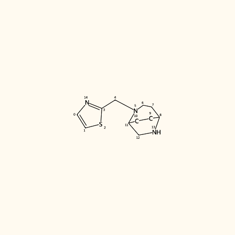 c1csc(CN2CCC3CCC2CN3)n1